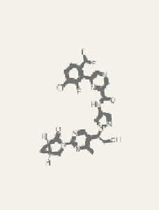 Cc1nc(N2C[C@H]3C[C@H]3C2=O)ncc1[C@H](CO)n1cc(NC(=O)c2cncc(-c3c(C(F)F)ccc(Cl)c3F)n2)cn1